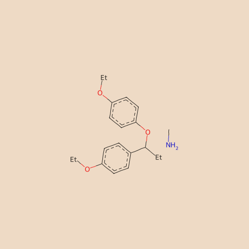 CCOc1ccc(OC(CC)c2ccc(OCC)cc2)cc1.CN